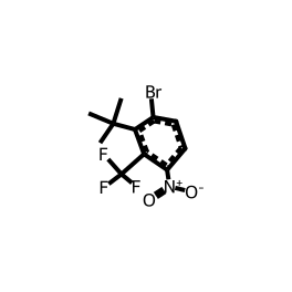 CC(C)(C)c1c(Br)ccc([N+](=O)[O-])c1C(F)(F)F